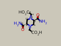 NC(=O)[C@H]1CN(CC(=O)O)[C@H](C(N)=O)CN1CC(=O)O